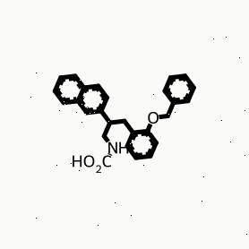 O=C(O)NCC(Cc1ccccc1OCc1ccccc1)c1ccc2ccccc2c1